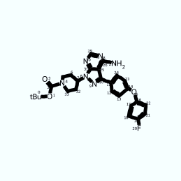 CC(C)(C)OC(=O)N1CCC(n2nc(-c3ccc(Oc4ccc(F)cc4)cc3)c3c(N)ncnc32)CC1